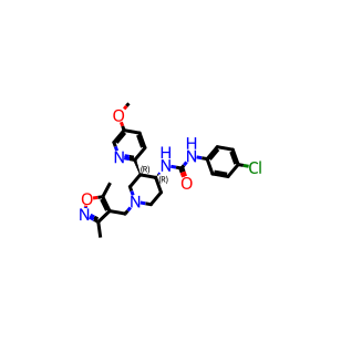 COc1ccc([C@@H]2CN(Cc3c(C)noc3C)CC[C@H]2NC(=O)Nc2ccc(Cl)cc2)nc1